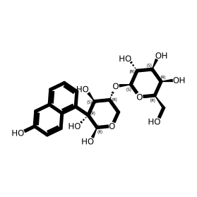 OC[C@H]1O[C@@H](O[C@@H]2CO[C@@H](O)[C@@](O)(c3cccc4cc(O)ccc34)[C@H]2O)[C@H](O)[C@@H](O)[C@H]1O